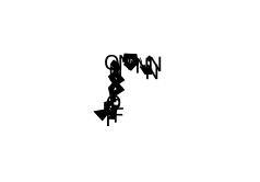 O=C(N1CC[C@H](n2cnnc2)C1)N1CC2(CC(OCC3(C(F)(F)F)CC3)C2)C1